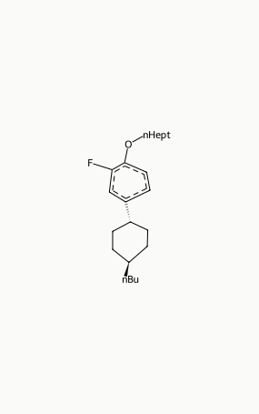 CCCCCCCOc1ccc([C@H]2CC[C@H](CCCC)CC2)cc1F